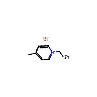 Cc1cc[n+](CC(C)C)cc1.[Br-]